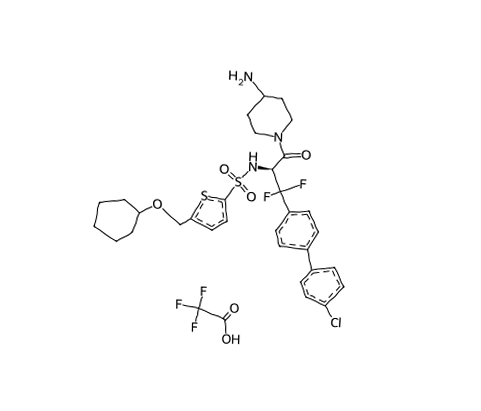 NC1CCN(C(=O)[C@H](NS(=O)(=O)c2ccc(COC3CCCCC3)s2)C(F)(F)c2ccc(-c3ccc(Cl)cc3)cc2)CC1.O=C(O)C(F)(F)F